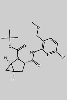 COCc1ccc(Br)nc1NC(=O)[C@@H]1C[C@@]2(C)C[C@H]2N1C(=O)OC(C)(C)C